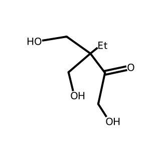 CCC(CO)(CO)C(=O)CO